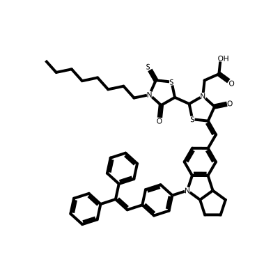 CCCCCCCCN1C(=O)C(C2S/C(=C\c3ccc4c(c3)C3CCCC3N4c3ccc(C=C(c4ccccc4)c4ccccc4)cc3)C(=O)N2CC(=O)O)SC1=S